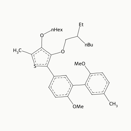 CCCCCCOc1c(C)sc(-c2ccc(OC)c(-c3cc(C)ccc3OC)c2)c1OCC(CC)CCCC